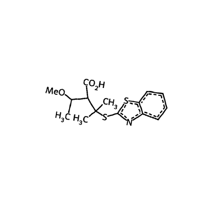 COC(C)C(C(=O)O)C(C)(C)Sc1nc2ccccc2s1